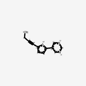 OCC#Cc1ccc(-c2cncnc2)s1